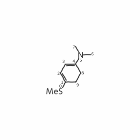 CSC1=CC=C(N(C)C)CC1